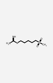 CS(=O)(=O)CCCCC[N]C(=N)N